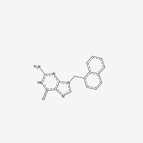 Nc1nc2c(ncn2Cc2cccc3ccccc23)c(=O)[nH]1